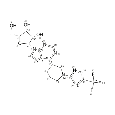 OC[C@H]1O[C@@H](n2cnc3c(C4CCCN(c5ccc(C(F)(F)F)cn5)C4)ncnc32)[C@@H](O)[C@H]1O